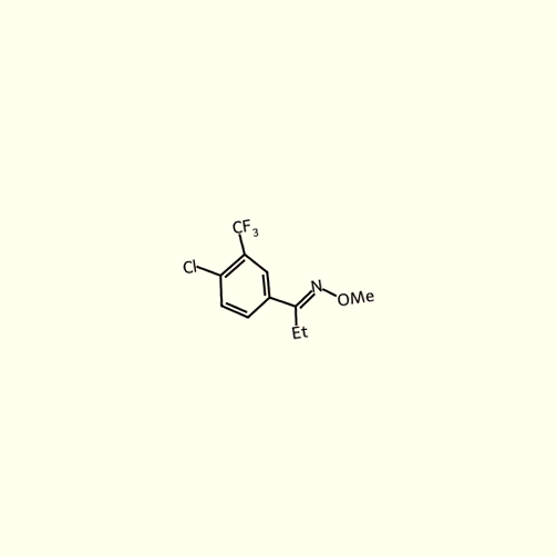 CCC(=NOC)c1ccc(Cl)c(C(F)(F)F)c1